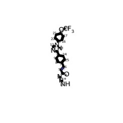 N=[N+]=NC(=O)/C=C/c1ccc(-c2ncn(-c3ccc(OC(F)(F)F)cc3)n2)cc1